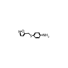 Nc1ccc(SCc2ccno2)cc1